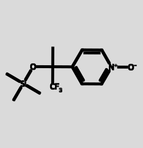 CC(O[Si](C)(C)C)(c1cc[n+]([O-])cc1)C(F)(F)F